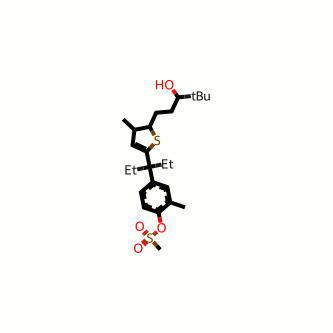 CCC(CC)(C1=CC(C)C(CCC(O)C(C)(C)C)S1)c1ccc(OS(C)(=O)=O)c(C)c1